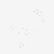 CC(=O)N[C@H](CCC(=O)OCc1ccccc1)C(=O)N[C@@H](CCC(=O)OCc1ccccc1)C(=O)NCCOCCn1cc(-c2ccc3c(C)cc(=O)oc3c2)nn1